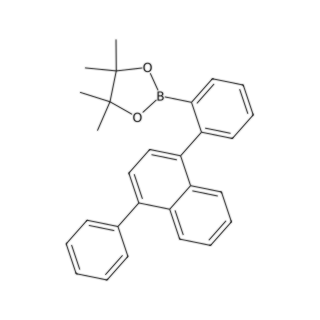 CC1(C)OB(c2ccccc2-c2ccc(-c3ccccc3)c3ccccc23)OC1(C)C